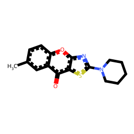 Cc1ccc2oc3nc(N4CCCCC4)sc3c(=O)c2c1